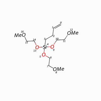 C=CCC[Si](OCCOC)(OCCOC)OCCOC